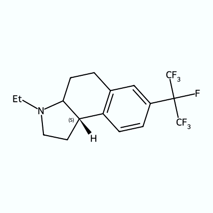 CCN1CC[C@H]2c3ccc(C(F)(C(F)(F)F)C(F)(F)F)cc3CCC21